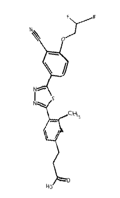 Cc1cc(CCC(=O)O)ccc1-c1nnc(-c2ccc(OCC(F)F)c(C#N)c2)s1